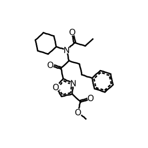 CCC(=O)N(C1CCCCC1)C(CCc1ccccc1)C(=O)c1nc(C(=O)OC)co1